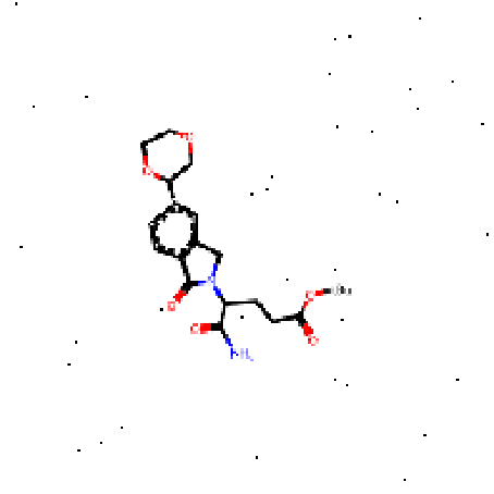 CC(C)(C)OC(=O)CCC(C(N)=O)N1Cc2cc(C3COCCO3)ccc2C1=O